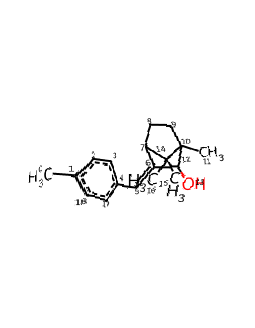 Cc1ccc(/C=C2\C3CCC(C)(C2O)C3(C)C)cc1